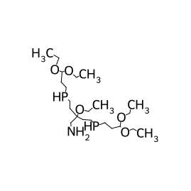 CCOC(CCPCCC(CN)(CCPCCC(OCC)OCC)OCC)OCC